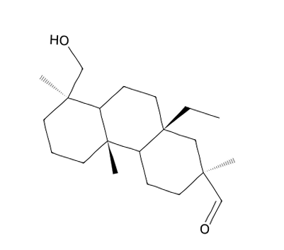 CC[C@]12CCC3[C@](C)(CO)CCC[C@@]3(C)C1CC[C@](C)(C=O)C2